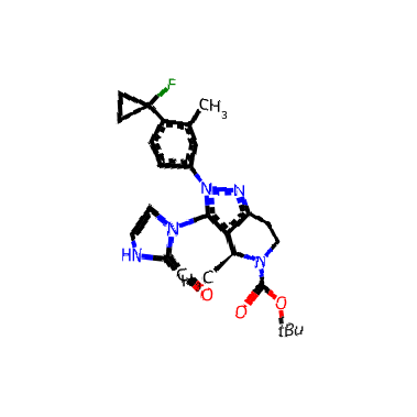 Cc1cc(-n2nc3c(c2N2C=CNC2=C=O)[C@H](C)N(C(=O)OC(C)(C)C)CC3)ccc1C1(F)CC1